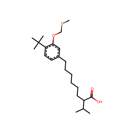 CSCOc1cc(CCCCCCC(C(=O)O)C(C)C)ccc1C(C)(C)C